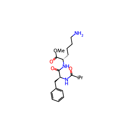 COC(=O)[C@H](CCCCN)NC(=O)[C@H](Cc1ccccc1)NC(=O)C(C)C